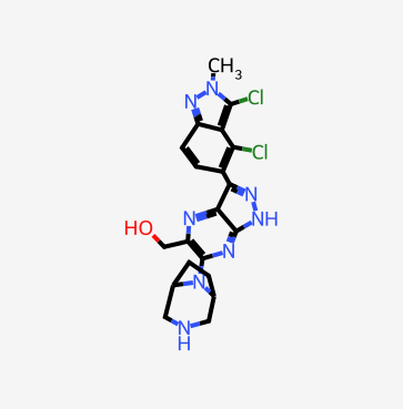 Cn1nc2ccc(-c3n[nH]c4nc(N5C6CCC5CNC6)c(CO)nc34)c(Cl)c2c1Cl